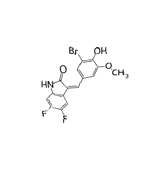 COc1cc(C=C2C(=O)Nc3cc(F)c(F)cc32)cc(Br)c1O